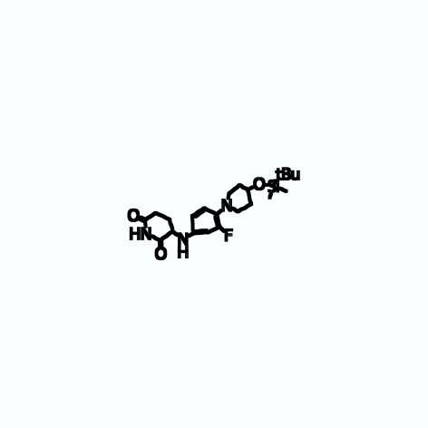 CC(C)(C)[Si](C)(C)OC1CCN(c2ccc(NC3CCC(=O)NC3=O)cc2F)CC1